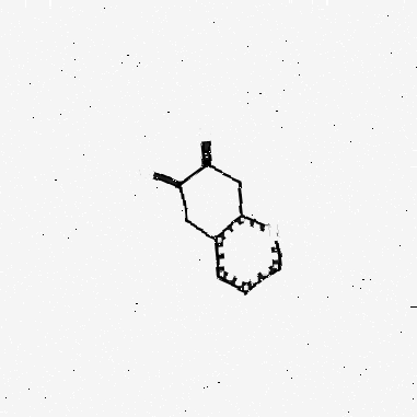 O=C1Cc2cccnc2CC1=O